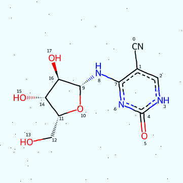 N#Cc1c[nH]c(=O)nc1N[C@@H]1O[C@H](CO)[C@H](O)[C@H]1O